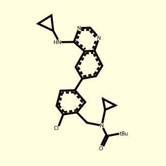 CC(C)(C)C(=O)N(Cc1cc(-c2ccc3ncnc(NC4CC4)c3c2)ccc1Cl)C1CC1